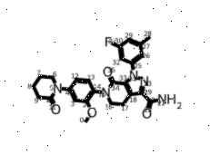 COc1cc(N2CCCCC2=O)ccc1N1CCc2c(C(N)=O)nn(-c3cc(C)cc(F)c3)c2C1=O